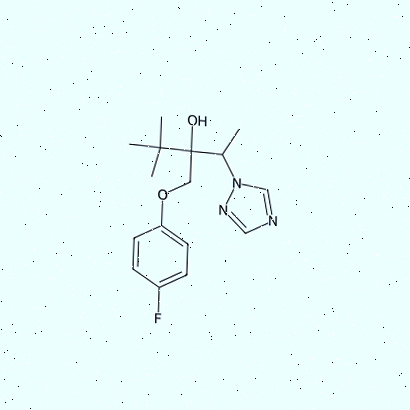 CC(n1cncn1)C(O)(COc1ccc(F)cc1)C(C)(C)C